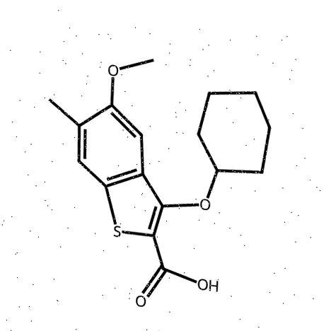 COc1cc2c(OC3CCCCC3)c(C(=O)O)sc2cc1C